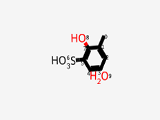 Cc1cccc(S(=O)(=O)O)c1O.O